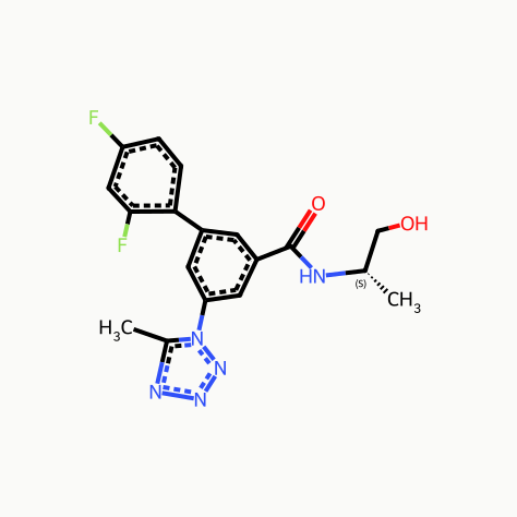 Cc1nnnn1-c1cc(C(=O)N[C@@H](C)CO)cc(-c2ccc(F)cc2F)c1